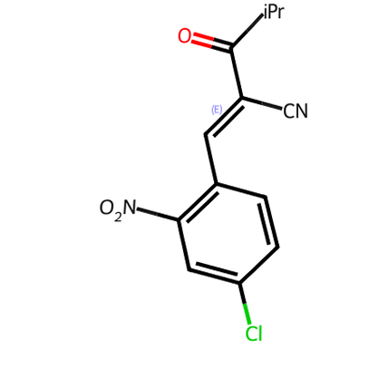 CC(C)C(=O)/C(C#N)=C/c1ccc(Cl)cc1[N+](=O)[O-]